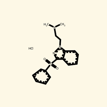 CN(C)CCn1nc(S(=O)(=O)c2ccccc2)c2ccccc21.Cl